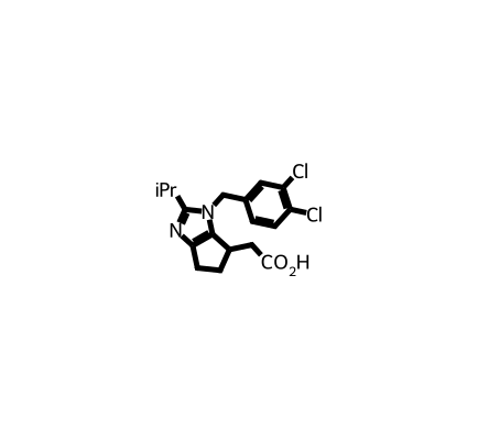 CC(C)c1nc2c(n1Cc1ccc(Cl)c(Cl)c1)C(CC(=O)O)CC2